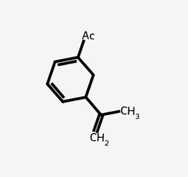 C=C(C)C1C=CC=C(C(C)=O)C1